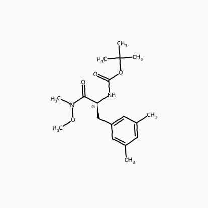 CON(C)C(=O)[C@H](Cc1cc(C)cc(C)c1)NC(=O)OC(C)(C)C